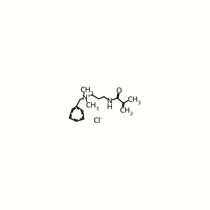 C=C(C)C(=O)NCCC[N+](C)(C)Cc1ccccc1.[Cl-]